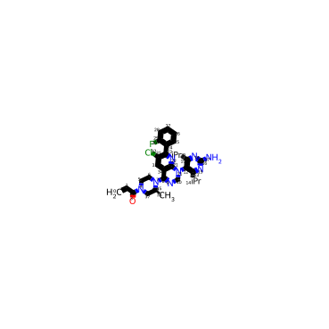 C=CC(=O)N1CCN(C2=NCN(c3c(C(C)C)nc(N)nc3C(C)C)c3nc(-c4ccccc4F)c(Cl)cc32)[C@@H](C)C1